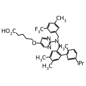 Cc1cc(CN(Cc2cc(C)c(C)cc2-c2cc(C(C)C)ccc2C)c2ncc(OCCCCC(=O)O)cn2)cc(C(F)(F)F)c1